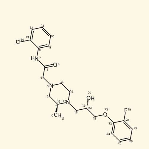 C[C@H]1CN(CC(=O)Nc2ccccc2Cl)CCN1C[C@H](O)COc1ccccc1F